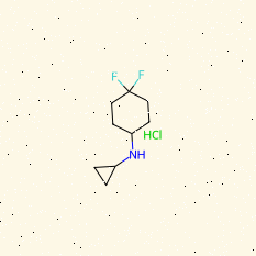 Cl.FC1(F)CCC(NC2CC2)CC1